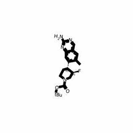 Cc1cc2cnc(N)nc2cc1[C@H]1CCN(C(=O)OC(C)(C)C)C[C@@H]1F